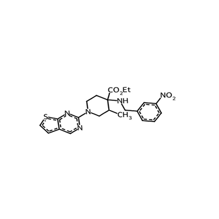 CCOC(=O)C1(NCc2cccc([N+](=O)[O-])c2)CCN(c2ncc3ccsc3n2)CC1C